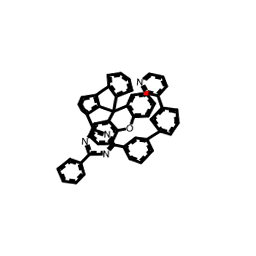 c1ccc(-c2nc(-c3cccc(-c4cccc(-c5cccnc5)c4)c3)nc(-c3cccc4c3C3(c5ccccc5Oc5ccccc53)c3ccccc3-4)n2)cc1